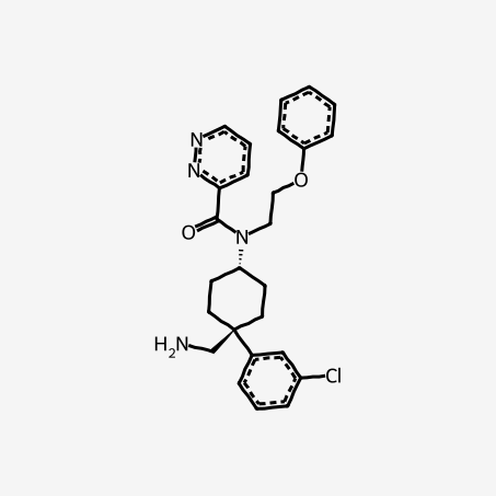 NC[C@]1(c2cccc(Cl)c2)CC[C@@H](N(CCOc2ccccc2)C(=O)c2cccnn2)CC1